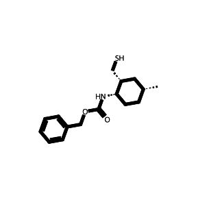 C[C@@H]1CC[C@H](NC(=O)OCc2ccccc2)[C@H](CS)C1